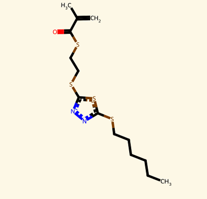 C=C(C)C(=O)SCCSc1nnc(SCCCCCC)s1